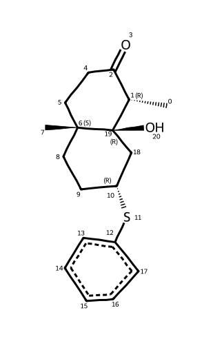 C[C@H]1C(=O)CC[C@@]2(C)CC[C@@H](Sc3ccccc3)C[C@@]12O